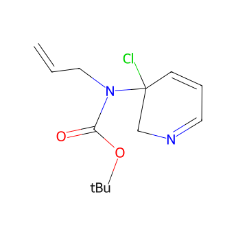 C=CCN(C(=O)OC(C)(C)C)C1(Cl)C=CC=NC1